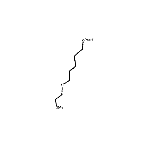 CCCCCCCCCCOCCOC